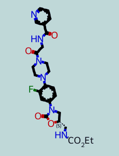 CCOC(=O)NC[C@H]1CN(c2ccc(N3CCN(C(=O)CNC(=O)c4cccnc4)CC3)c(F)c2)C(=O)O1